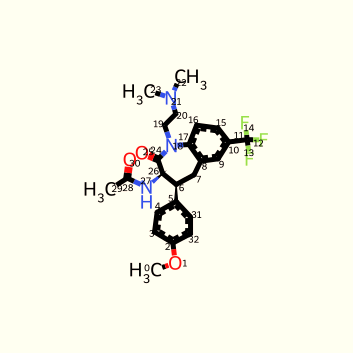 COc1ccc([C@@H]2Cc3cc(C(F)(F)F)ccc3N(CCN(C)C)C(=O)[C@@H]2NC(C)=O)cc1